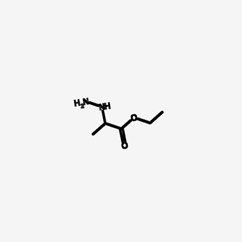 CCOC(=O)C(C)NN